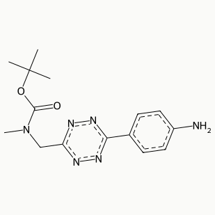 CN(Cc1nnc(-c2ccc(N)cc2)nn1)C(=O)OC(C)(C)C